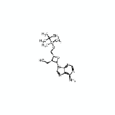 CC(C)(C)[Si](C)(C)OC[C@H]1O[C@@H](n2cnc3c(N)ncnc32)[C@H]1CO